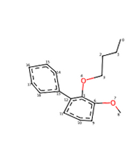 CCCCOc1c(OC)cccc1-c1ccccc1